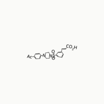 CC(=O)c1ccc(N2CCN(S(=O)(=O)c3cccc(C=CC(=O)O)c3)CC2)cc1